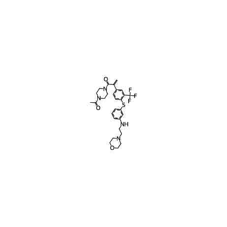 C=C(C(=O)N1CCN(C(C)=O)CC1)c1ccc(Sc2cccc(NCCN3CCOCC3)c2)c(C(F)(F)F)c1